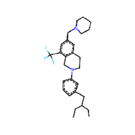 CCC(CC)Cc1cccc(N2CCc3cc(CN4CCCCC4)cc(C(F)(F)F)c3C2)c1